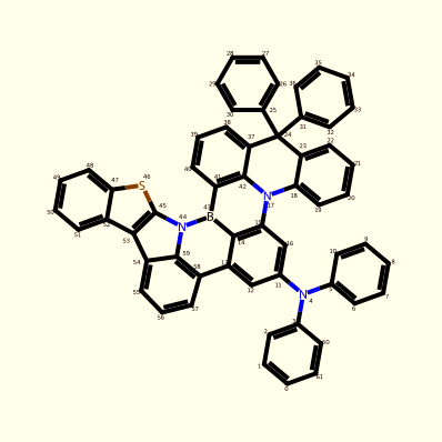 c1ccc(N(c2ccccc2)c2cc3c4c(c2)N2c5ccccc5C(c5ccccc5)(c5ccccc5)c5cccc(c52)B4n2c4sc5ccccc5c4c4cccc-3c42)cc1